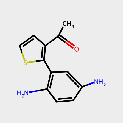 CC(=O)c1ccsc1-c1cc(N)ccc1N